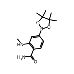 CNc1cc(B2OC(C)(C)C(C)(C)O2)ccc1C(N)=O